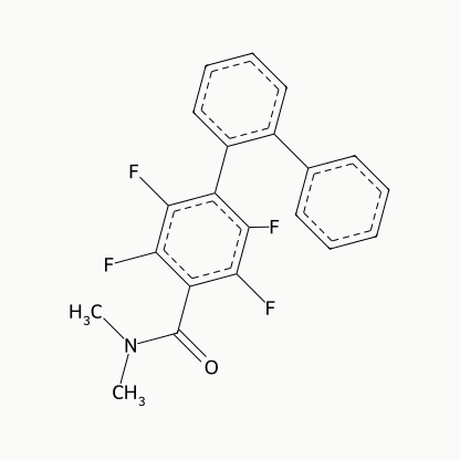 CN(C)C(=O)c1c(F)c(F)c(-c2ccccc2-c2ccccc2)c(F)c1F